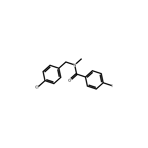 CN(Cc1ccc(Cl)cc1)C(=O)c1ccc(I)cc1